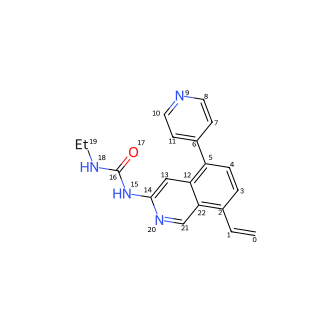 C=Cc1ccc(-c2ccncc2)c2cc(NC(=O)NCC)ncc12